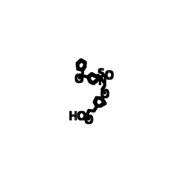 O=C(O)CCc1ccc(OCCn2c(=O)sc3cc(C(=O)c4ccccc4)ccc32)cc1